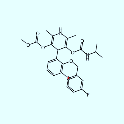 COC(=O)OC1=C(C)NC(C)=C(OC(=O)NC(C)C)C1c1cccc(OC)c1OCc1cccc(F)c1